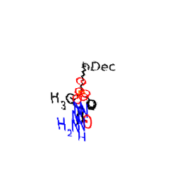 CCCCCCCCCCCCCCCCOCCCOP(=O)(COC(C)Cn1cnc2c(=O)[nH]c(N)nc21)OCc1ccccc1